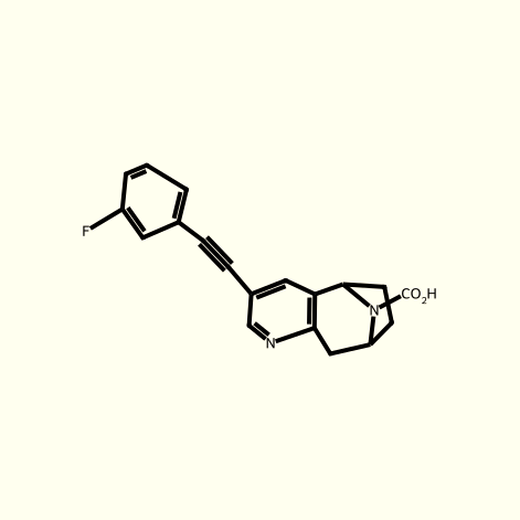 O=C(O)N1C2CCC1c1cc(C#Cc3cccc(F)c3)cnc1C2